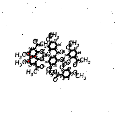 COc1ccc(C(C)=O)c(OP(Oc2cc(OC)ccc2C(C)=O)Oc2cc(OC)ccc2C(=O)c2ccc(OC)cc2OP(Oc2cc(OC)ccc2C(C)=O)Oc2cc(OC)ccc2C(C)=O)c1